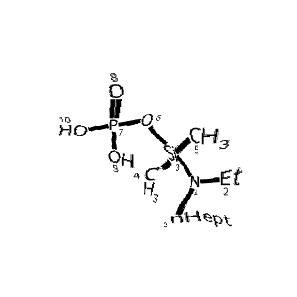 CCCCCCCN(CC)[Si](C)(C)OP(=O)(O)O